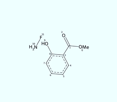 COC(=O)c1ccccc1O.NF